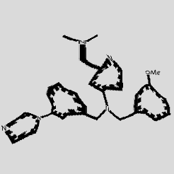 COc1cccc(CN(Cc2cccc(-n3ccnc3)c2)c2ccnc(CN(C)C)c2)c1